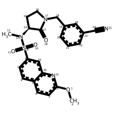 COc1ccc2ccc(S(=O)(=O)N(C)[C@H]3CCN(Cc4cccc(C#N)c4)C3=O)cc2n1